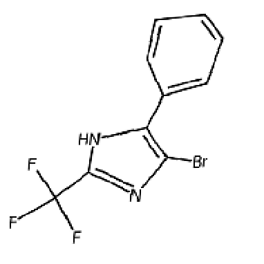 FC(F)(F)c1nc(Br)c(-c2ccccc2)[nH]1